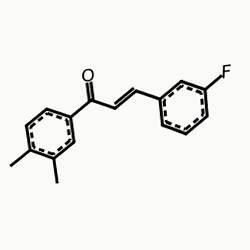 Cc1ccc(C(=O)/C=C/c2cccc(F)c2)cc1C